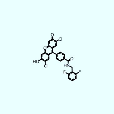 O=C(NCc1c(F)cccc1F)c1ccc(-c2c3cc(Cl)c(=O)cc-3oc3cc(O)c(Cl)cc23)cc1